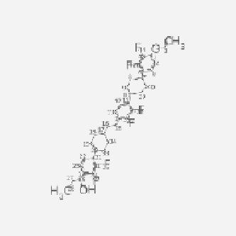 CCOc1ccc(C2CCC(c3ccc(CCC4CC=C(c5ccc(C(O)CC)c(F)c5F)CC4)c(F)c3F)CC2)c(F)c1F